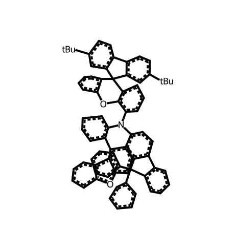 CC(C)(C)c1ccc2c(c1)C1(c3ccccc3Oc3c(N(c4ccc5c(c4)C(c4ccccc4)(c4ccccc4)c4ccccc4-5)c4ccccc4-c4cccc5oc6ccccc6c45)cccc31)c1cc(C(C)(C)C)ccc1-2